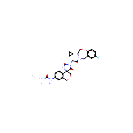 CNC(=O)Nc1ccc2c(c1)COCC21NC(=O)N(CC(=O)N2Cc3cc(F)ccc3OC[C@H]2C2CC2)C1=O